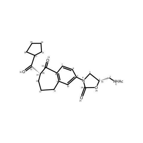 CC(=O)NC[C@H]1CN(c2ccc3c(c2)CCC[C@H](C(=O)C2CCCC2)C3=O)C(=O)O1